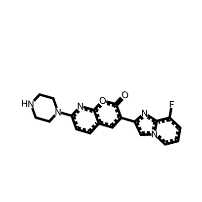 O=c1oc2nc(N3CCNCC3)ccc2cc1-c1cn2cccc(F)c2n1